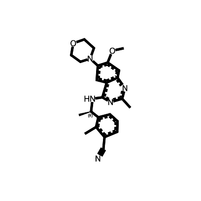 COc1cc2nc(C)nc(N[C@H](C)c3cccc(C#N)c3C)c2cc1N1CCOCC1